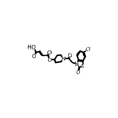 O=C(O)C=CC(=O)OC1CCN(C(=O)Cn2c(=O)sc3cc(Cl)ccc32)CC1